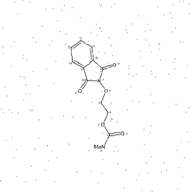 CNC(=O)OCCON1C(=O)c2ccccc2C1=O